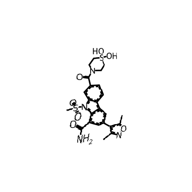 Cc1noc(C)c1-c1cc(C(N)=O)c2c(c1)c1ccc(C(=O)N3CCS(O)(O)CC3)cc1n2S(C)(=O)=O